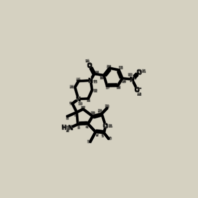 CC1=C(C)C2=C(N)C(C)(CN3CCN(C(=O)c4ccc([N+](=O)[O-])cc4)CC3)CC2=C(C)O1